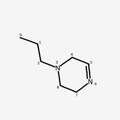 CCCN1CC=NCC1